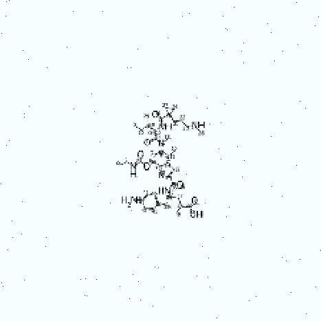 CCNC(=O)O[C@H](C[C@H](C(C)C)N(C)C(=O)[C@@H](NC(=O)C1(CCCNC)CC1)[C@@H](C)CC)c1nc(C(=O)N[C@@H](Cc2ccc(N)cc2)C[C@H](C)C(=O)O)cs1